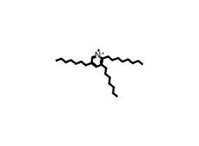 CCCCCCCCc1c(CCCCCCC)cc(CCCCCCC)c[n+]1C